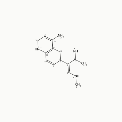 CN/C=C(\C(C)=N)c1ccc2c(c1)C(N)=CCN2